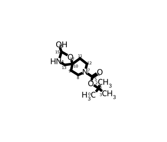 CC(C)(C)OC(=O)N1CCC2(CC1)CNC(O)O2